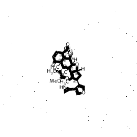 COC(=O)C(C)[C@H]1[C@]2(C)C3=C(C)[C@H](c4cocc4C4CN4)C[C@H]3O[C@@H]2[C@@H]2OC(=O)[C@]3(C)C=CC(=O)[C@@]1(C)[C@@H]23